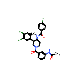 CC(=O)Nc1cccc(C(=O)N2CCC(N(C)C(=O)c3ccc(Cl)cc3)C(c3ccc(Cl)c(Cl)c3)C2)c1